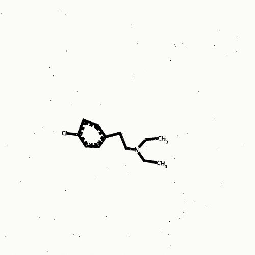 CCN([CH]Cc1ccc(Cl)cc1)CC